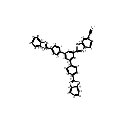 N#Cc1ccc2nc(-c3cc(-c4ccc(-c5nc6ccccc6o5)cc4)cc(-c4ccc(-c5nc6ccccc6o5)cc4)c3)sc2c1